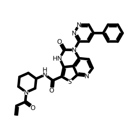 C=CC(=O)N1CCCC(NC(=O)c2sc3nccc4c3c2NC(=O)N4c2cc(-c3ccccc3)cnn2)C1